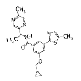 Cc1cnc(C(C)NC(=O)c2cc(OCC3CC3)cc(-c3ncc(C)s3)c2)cn1